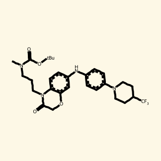 CN(CCCN1C(=O)COc2cc(Nc3ccc(N4CCC(C(F)(F)F)CC4)cc3)ccc21)C(=O)OC(C)(C)C